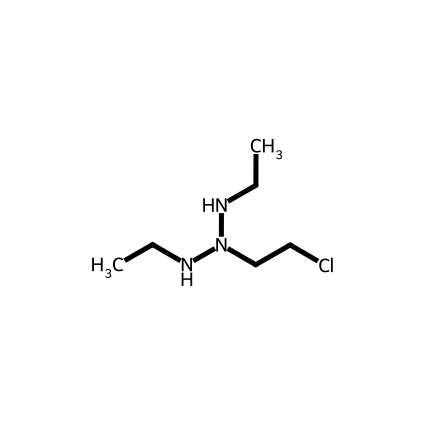 CCNN(CCCl)NCC